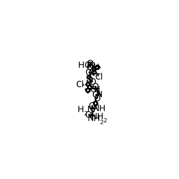 CN(CCN(C)C(=O)Oc1cc2c(c3ccccc13)[C@H](CCl)CN2C(=O)c1ccc(C(=O)N2C[C@@H](CCl)c3c2cc(OP(=O)(O)O)c2ccccc32)s1)C(=O)OCc1ccc(N[C@@H](CCC(N)C(N)=O)C(N)=O)cc1